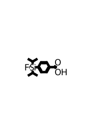 CC(C)[Si](F)(c1ccc(C(=O)O)cc1)C(C)C